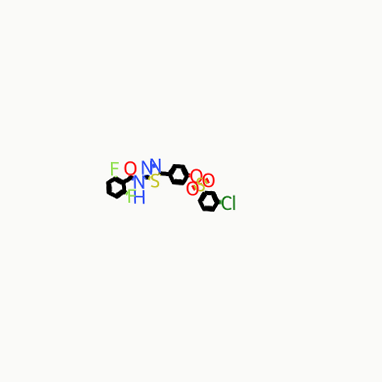 O=C(Nc1nnc(-c2ccc(OS(=O)(=O)c3cccc(Cl)c3)cc2)s1)c1c(F)cccc1F